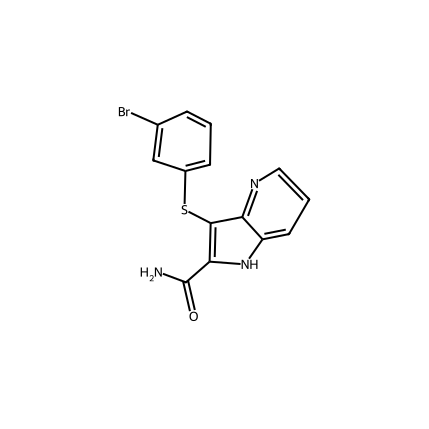 NC(=O)c1[nH]c2cccnc2c1Sc1cccc(Br)c1